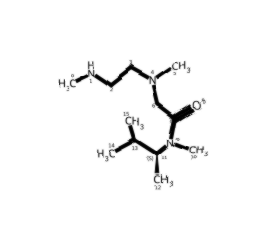 CNCCN(C)CC(=O)N(C)[C@@H](C)C(C)C